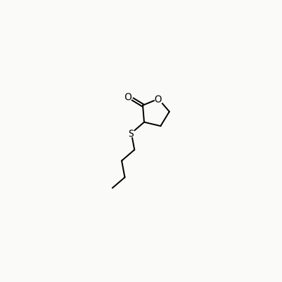 CCCCSC1CCOC1=O